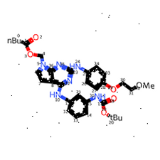 CCCCC(=O)OCn1ccc2c(Nc3cccc(NC(=O)OC(C)(C)C)c3)nc(Nc3ccc(OCCOC)cc3)nc21